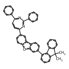 CC1(C)c2ccccc2-c2c(-c3ccc4c(c3)oc3ccc(C5=C=CC(c6ccccc6)=NC(c6ccccc6)=N5)cc34)cccc21